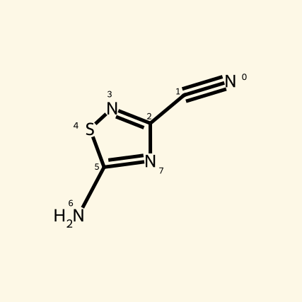 N#Cc1nsc(N)n1